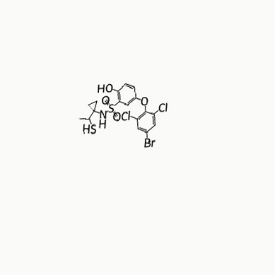 CC(S)C1(NS(=O)(=O)c2cc(Oc3c(Cl)cc(Br)cc3Cl)ccc2O)CC1